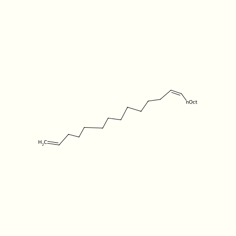 C=CCCCCCCCCCC/C=C\CCCCCCCC